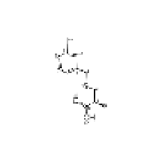 C[C@H](CSCc1cccc(I)c1)C(=O)O